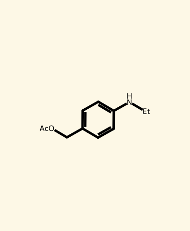 CCNc1ccc(COC(C)=O)cc1